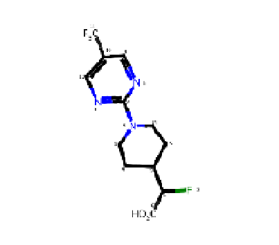 O=C(O)C(F)C1CCN(c2ncc(C(F)(F)F)cn2)CC1